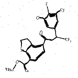 CC(C)(C)OC(=O)c1ccc(C(=O)CC(c2cc(Cl)c(F)c(Cl)c2)C(F)(F)F)c2c1SCC2